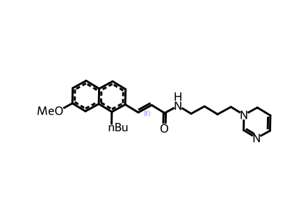 CCCCc1c(/C=C/C(=O)NCCCCN2C=NC=CC2)ccc2ccc(OC)cc12